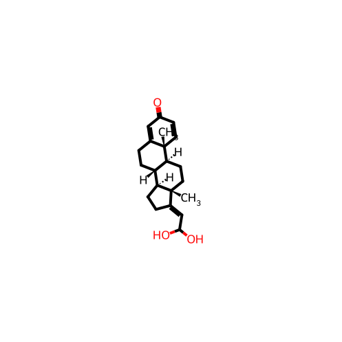 C[C@]12C=CC(=O)C=C1CC[C@@H]1[C@@H]2CC[C@]2(C)C(=CC(O)O)CC[C@@H]12